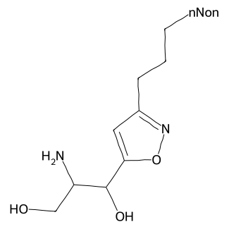 CCCCCCCCCCCCc1cc(C(O)C(N)CO)on1